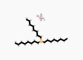 CCCCCCCCP(CCCCCCCC)CCCCCCCC.N.O